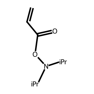 C=CC(=O)ON(C(C)C)C(C)C